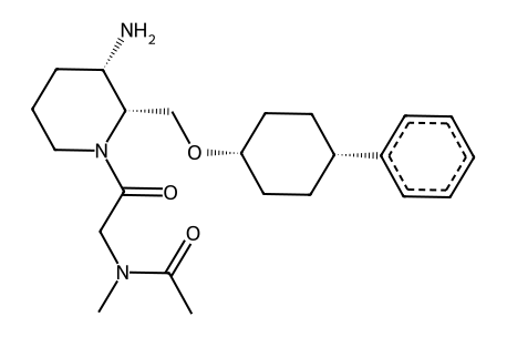 CC(=O)N(C)CC(=O)N1CCC[C@H](N)[C@@H]1CO[C@H]1CC[C@@H](c2ccccc2)CC1